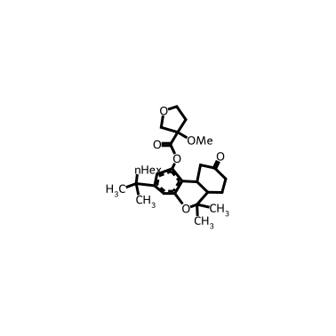 CCCCCCC(C)(C)c1cc(OC(=O)C2(OC)CCOC2)c2c(c1)OC(C)(C)C1CCC(=O)CC21